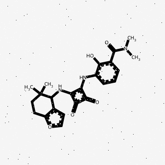 CN(C)C(=O)c1cccc(Nc2c(NC3c4ccoc4CCC3(C)C)c(=O)c2=O)c1O